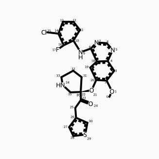 COc1cc2ncnc(Nc3cccc(Cl)c3F)c2cc1O[C@]1(C(=O)Cc2ccsc2)CCCNC1